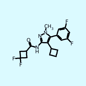 Cn1nc(NC(=O)C2CC(F)(F)C2)c(C2CCC2)c1-c1cc(F)cc(F)c1